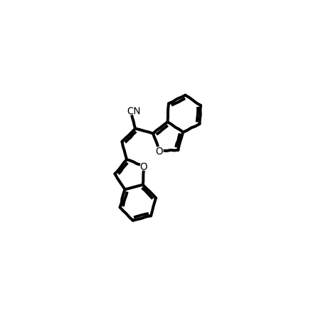 N#CC(=Cc1cc2ccccc2o1)c1occ2ccccc12